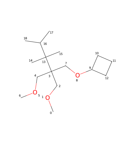 COCC(COC)(COC1CCC1)C(C)(C)C(C)C